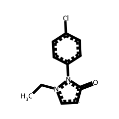 CCn1c[c]c(=O)n1-c1ccc(Cl)cc1